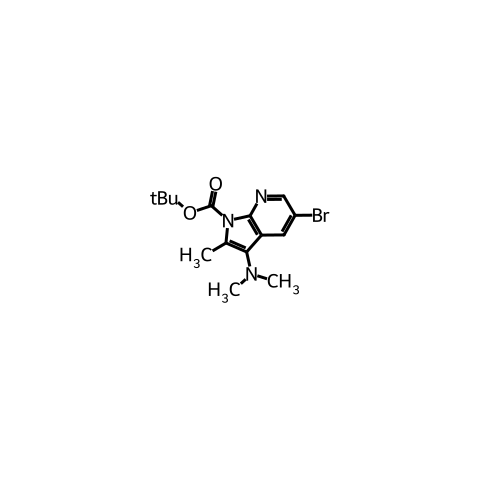 Cc1c(N(C)C)c2cc(Br)cnc2n1C(=O)OC(C)(C)C